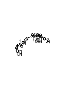 Cc1ncsc1-c1ccc([C@H](CO)NC(=O)[C@@H]2C[C@@H](O)CN2C(=O)[C@@H](NC(=O)CCCCN2CCN(c3ccc(C(=O)NC4C(C)(C)C(Oc5ccc(C#N)c(Cl)c5)C4(C)C)cn3)CC2)C(C)(C)C)cc1